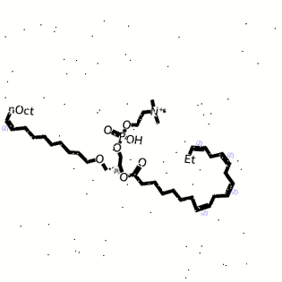 CC/C=C\C/C=C\C/C=C\C/C=C\CCCCCCC(=O)O[C@H](COCCCCCCCC/C=C\CCCCCCCC)COP(=O)(O)OCC[N+](C)(C)C